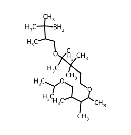 BC(C)(C)C(C)COC(C)(C)C(C)(C)CCOC(C)C(C)C(C)COC(C)C